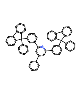 c1ccc(-c2cc(-c3cccc(C4(c5ccccc5)c5ccccc5-c5ccccc54)c3)nc(-c3cccc(C4(c5ccccc5)c5ccccc5-c5ccccc54)c3)c2)cc1